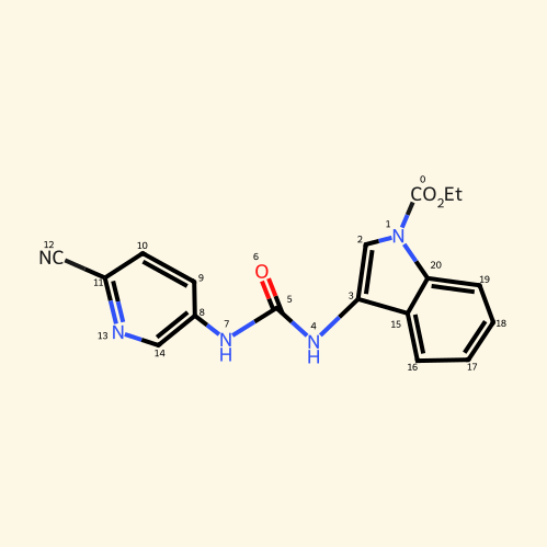 CCOC(=O)n1cc(NC(=O)Nc2ccc(C#N)nc2)c2ccccc21